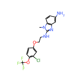 Cn1c(NCCOc2ccc(OC(F)(F)F)c(Cl)c2)nc2cc(N)ccc21